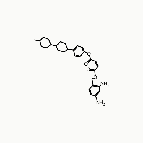 CC1CCC(C2CCC(c3ccc(OC(=O)/C=C\C(=O)OCc4ccc(N)cc4N)cc3)CC2)CC1